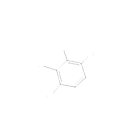 [CH2]c1ccc(O)c(Cl)c1Cl